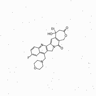 CCC1(O)CC(=O)OCc2c1cc1n(c2=O)Cc2c-1nc1ccc(F)cc1c2CN1CCOCC1